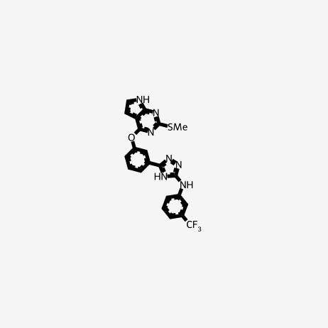 CSc1nc(Oc2cccc(-c3nnc(Nc4cccc(C(F)(F)F)c4)[nH]3)c2)c2cc[nH]c2n1